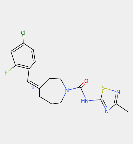 Cc1nsc(NC(=O)N2CCC/C(=C/c3ccc(Cl)cc3F)CC2)n1